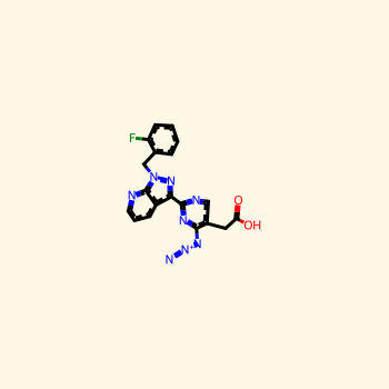 [N-]=[N+]=Nc1nc(-c2nn(Cc3ccccc3F)c3ncccc23)ncc1CC(=O)O